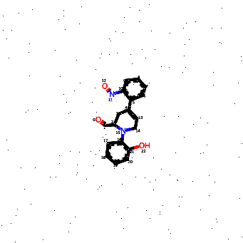 O=CC1CC(c2ccccc2N=O)=CCN1c1ccccc1O